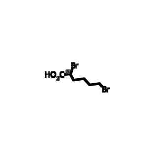 O=C(O)[C@@H](Br)CCCCBr